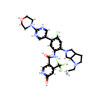 CCN1CCC2CN(c3cc(F)c(-c4cnc(N5CCOCC5)nc4)cc3NC(=O)c3c[nH]c(=O)cc3C(F)(F)F)CC21